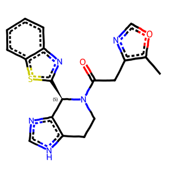 Cc1ocnc1CC(=O)N1CCc2[nH]cnc2[C@H]1c1nc2ccccc2s1